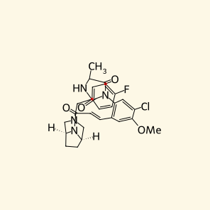 COc1cc(/C=C/C(=O)N2[C@@H]3CC[C@H]2CN(Cc2ccc(F)cc2)C3)c(N2C(=O)NC(C)C2=O)cc1Cl